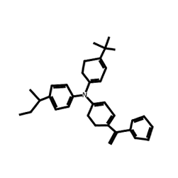 C=C(C1=CC=C(N(C2=CC=C(C(C)(C)C)CC2)c2ccc(C(C)CC)cc2)CC1)c1ccccc1